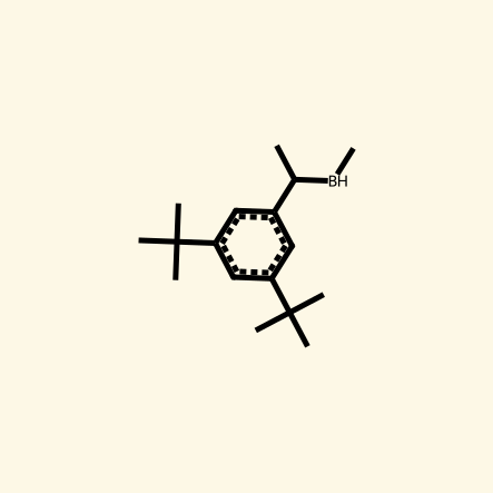 CBC(C)c1cc(C(C)(C)C)cc(C(C)(C)C)c1